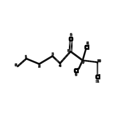 CCCCCC(=O)C(Cl)(Cl)CCl